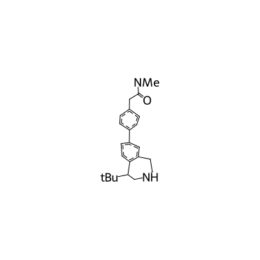 CNC(=O)Cc1ccc(-c2ccc3c(c2)CCNCC3C(C)(C)C)cc1